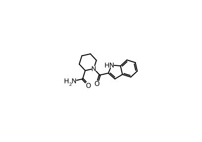 NC(=O)C1CCCCN1C(=O)c1cc2ccccc2[nH]1